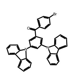 O=C(c1ccc(Br)cc1)c1cc(-n2c3ccccc3c3ccccc32)cc(-n2c3ccccc3c3ccccc32)c1